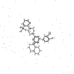 Fc1ccc(-c2nc(N3CCN(c4ncccc4C(F)(F)F)CC3)nc(N3CCCC4CCCCC43)n2)cc1Cl